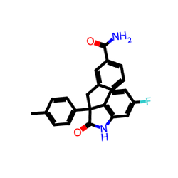 Cc1ccc(C2(Cc3cccc(C(N)=O)c3)C(=O)Nc3cc(F)ccc32)cc1